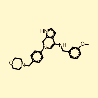 COc1cccc(CNC2=CN(c3ccc(CN4CCOCC4)cc3)Cc3[nH]ccc32)c1